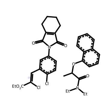 CCN(CC)C(=O)C(C)Oc1cccc2ccccc12.CCOC(=O)/C(Cl)=C/c1cc(N2C(=O)C3=C(CCCC3)C2=O)ccc1Cl